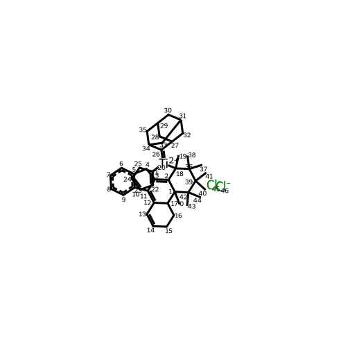 CC12C(=C3Cc4ccccc4C3=C3C=CCCC31)[C](C)([Ti+2]([C]1=CC=CC1)=[C]1C3CC4CC(C3)CC1C4)C(C)(C)C(C)(C)C2(C)C.[Cl-].[Cl-]